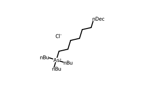 CCCCCCCCCCCCCCCC[As+](CCCC)(CCCC)CCCC.[Cl-]